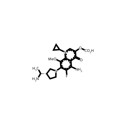 COc1c(N2CC[C@H](C(C)N)C2)c(F)c(N)c2c(=O)c(OC(=O)O)cn(C3CC3)c12